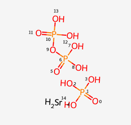 O=P(O)(O)O.O=P(O)(O)OP(=O)(O)O.[SrH2]